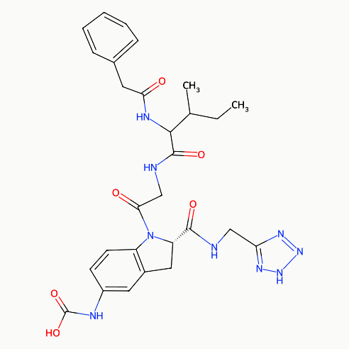 CCC(C)C(NC(=O)Cc1ccccc1)C(=O)NCC(=O)N1c2ccc(NC(=O)O)cc2C[C@H]1C(=O)NCc1nn[nH]n1